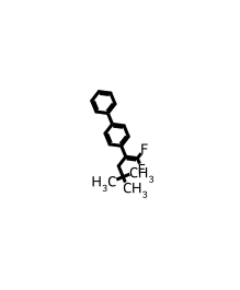 CC(C)(C)CC(=C(F)F)c1ccc(-c2ccccc2)cc1